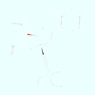 CC[Si](C#C[C@]1(COC(C)=O)O[C@@H](n2cc(F)c(=O)[nH]c2=O)C[C@@H]1OC(C)=O)(CC)CC